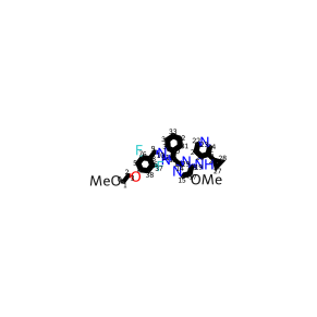 COCCOc1cc(F)c(Cn2nc(-c3ncc(OC)c(Nc4ccncc4C4CC4)n3)c3ccccc32)c(F)c1